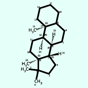 CC1(C)CC[C@H]2[C@@H]3CCC4CCCC[C@]4(C)[C@@H]3CC[C@@]21C